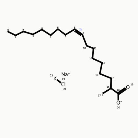 CCCCCCCC/C=C\CCCCCCC(I)C(=O)[O-].[Cl][K].[Na+]